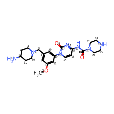 NC1CCN(Cc2cc(OC(F)(F)F)cc(-n3ccc(NC(=O)N4CCNCC4)nc3=O)c2)CC1